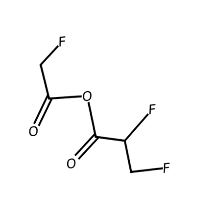 O=C(CF)OC(=O)C(F)CF